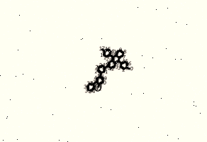 Cc1ccc(-c2c3ccccc3c(-c3ccc(C)cc3)c3cc(-c4cccc(-c5ccc6oc7ccccc7c6c5)c4)ccc23)cc1